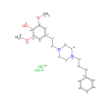 COc1cc(CCN2CCN(CCCc3ccccc3)CC2)cc(OC)c1O.Cl.Cl